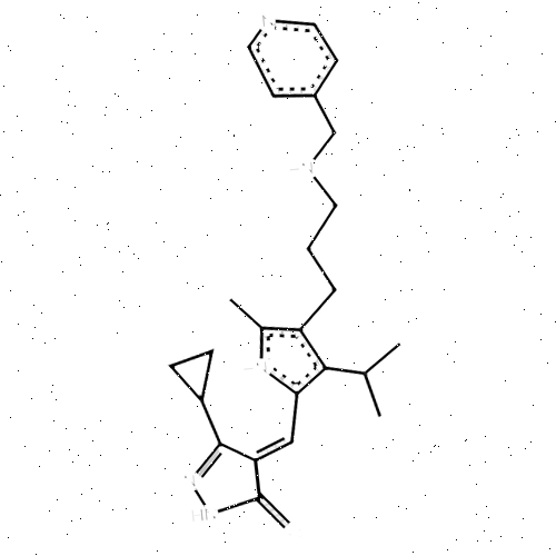 Cc1[nH]c(/C=C2/C(=O)NN=C2C2CC2)c(C(C)C)c1CCCNCc1ccncc1